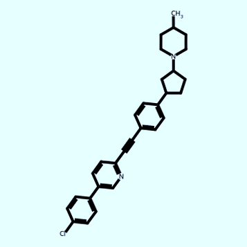 CC1CCN(C2CCC(c3ccc(C#Cc4ccc(-c5ccc(Cl)cc5)cn4)cc3)C2)CC1